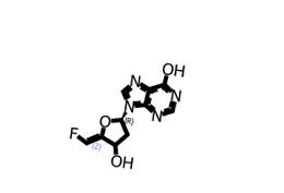 Oc1ncnc2c1ncn2[C@H]1CC(O)/C(=C/F)O1